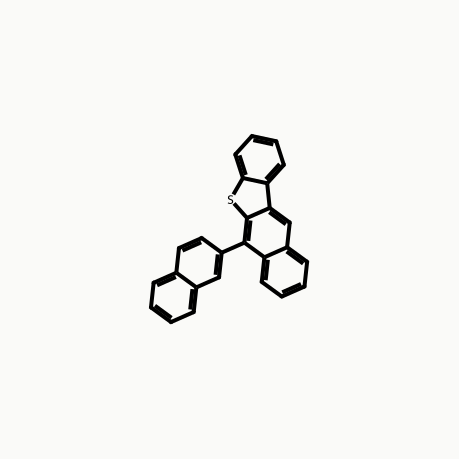 c1ccc2cc(-c3c4ccccc4cc4c3sc3ccccc34)ccc2c1